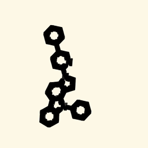 c1ccc(-c2ccc(-n3ccc4c3ccc3c5ccccc5n(-c5ccccc5)c34)nc2)cc1